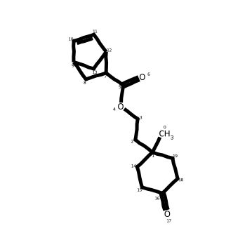 CC1(CCOC(=O)C2CC3C=CC2C3)CCC(=O)CC1